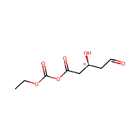 CCOC(=O)OC(=O)C[C@@H](O)CC=O